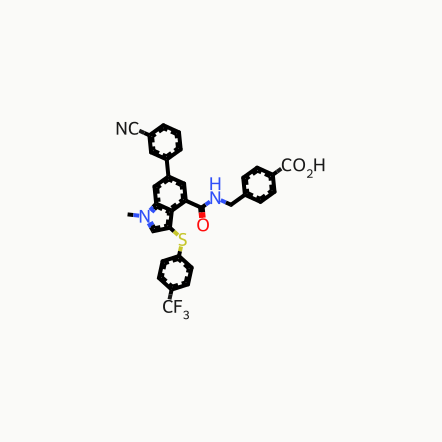 Cn1cc(Sc2ccc(C(F)(F)F)cc2)c2c(C(=O)NCc3ccc(C(=O)O)cc3)cc(-c3cccc(C#N)c3)cc21